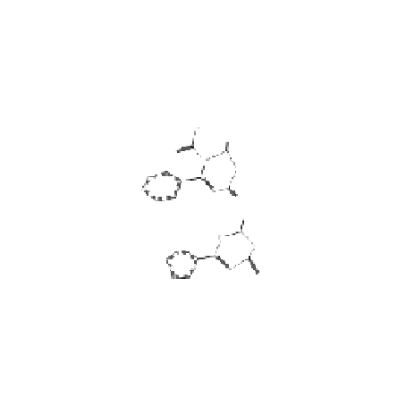 CC1CC(=O)C=C(c2ccccc2)N1C(=O)O.CC1CC(=O)C=C(c2cccs2)N1